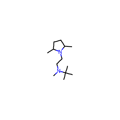 CC1CCC(C)N1CCN(C)C(C)(C)C